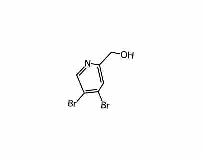 OCc1cc(Br)c(Br)cn1